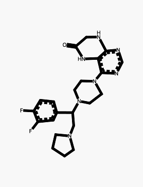 O=C1CNc2ncnc(N3CCN(C(CN4CCCC4)c4ccc(F)c(F)c4)CC3)c2N1